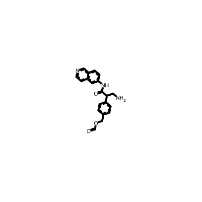 NCC(C(=O)Nc1ccc2cnccc2c1)c1ccc(COC=O)cc1